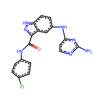 Nc1nccc(Nc2ccc3[nH]nc(C(=O)Nc4ccc(Cl)cc4)c3c2)n1